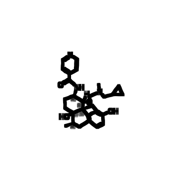 C[C@@H]1Cc2ccc(O)c3c2[C@@]2(CCN(C)CC4CC4)[C@@H](O3)[C@H](NC(=O)c3ccncc3)CC[C@@]12O